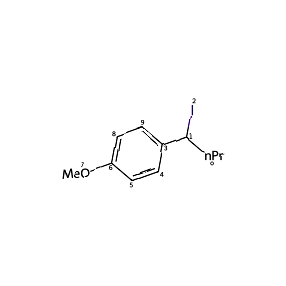 CCCC(I)c1ccc(OC)cc1